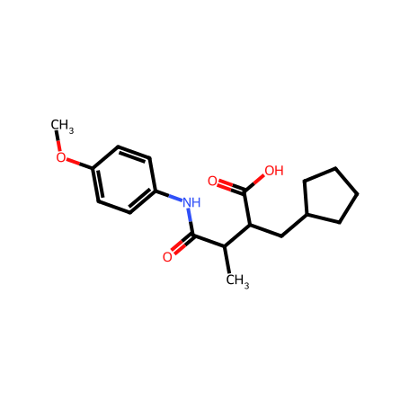 COc1ccc(NC(=O)C(C)C(CC2CCCC2)C(=O)O)cc1